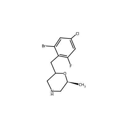 C[C@H]1CNCC(Cc2c(F)cc(Cl)cc2Br)O1